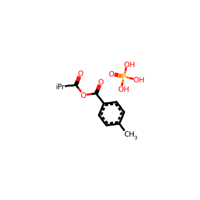 Cc1ccc(C(=O)OC(=O)C(C)C)cc1.O=P(O)(O)O